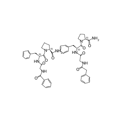 NC(=O)[C@@H]1CCCN1C(=O)[C@H](Cc1ccccc1)NC(=O)CNC(=O)Cc1ccccc1.NC(=O)[C@@H]1CCCN1C(=O)[C@H](Cc1ccccc1)NC(=O)CNC(=O)c1ccccc1